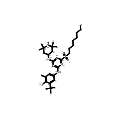 CCCCCCCCS(=O)(=O)c1nc(Nc2cc(C)c(O)c(C(C)(C)C)c2)nc(NC2CC(C)(C)NC(C)(C)C2)n1